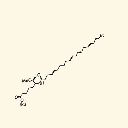 CCC=CCC=CCC=CCC=CCC=CCC=CCCC(=O)NC(CCCCC(=O)OC(C)(C)C)C(=O)OC